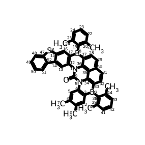 Cc1cc2c(cc1C)N1C(=O)N3c4cc5c(cc4B(c4c(C)cccc4C)c4ccc6ccc(c1c6c43)B2c1c(C)cccc1C)sc1ccccc15